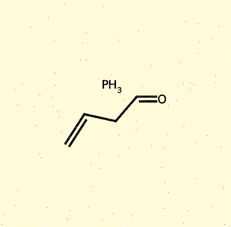 C=CCC=O.P